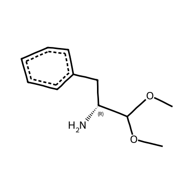 COC(OC)[C@H](N)Cc1ccccc1